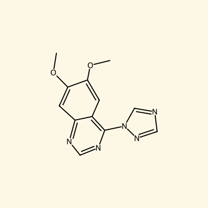 COc1cc2ncnc(-n3cncn3)c2cc1OC